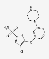 NS(=O)(=O)c1cc(Cl)c(Oc2cccc(N3CCNCC3)c2)s1